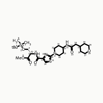 COC(=O)[C@H](CO[Si](C)(C)C(C)(C)C)NC(=O)c1csc(N2CCC(NC(=O)CC3CCOCC3)CC2)n1